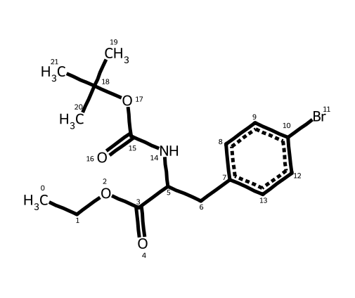 CCOC(=O)C(Cc1ccc(Br)cc1)NC(=O)OC(C)(C)C